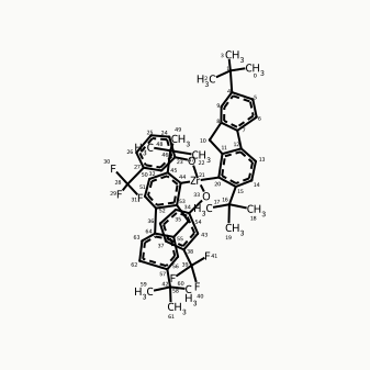 CC(C)(C)c1ccc2c(c1)Cc1c-2ccc(C(C)(C)C)[c]1[Zr]([O]c1cccc(C(F)(F)F)c1)([O]c1cccc(C(F)(F)F)c1)[c]1c(C(C)(C)C)ccc2c1Cc1cc(C(C)(C)C)ccc1-2